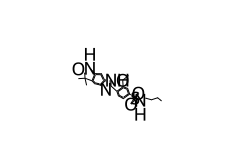 CCCCNS(=O)(=O)c1ccc(-c2nc3cc4c(cc3[nH]2)NC(=O)C4(C)C)c(OC)c1